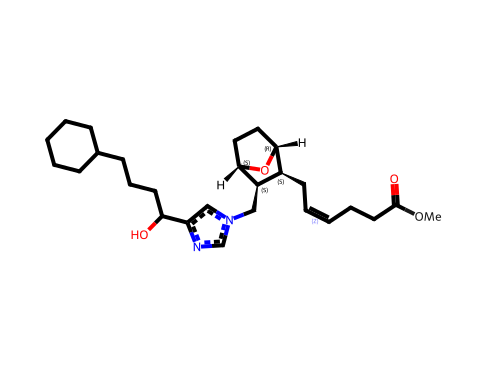 COC(=O)CC/C=C\C[C@H]1[C@@H](Cn2cnc(C(O)CCCC3CCCCC3)c2)[C@@H]2CC[C@H]1O2